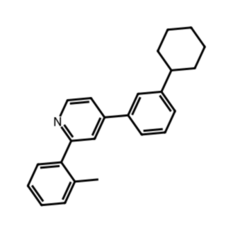 Cc1ccccc1-c1cc(-c2cccc(C3CCCCC3)c2)ccn1